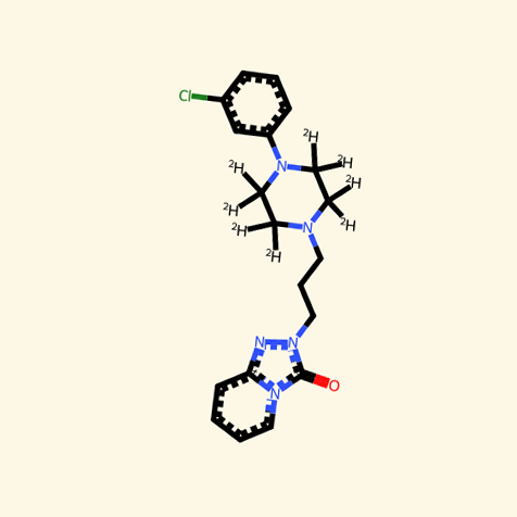 [2H]C1([2H])N(CCCn2nc3ccccn3c2=O)C([2H])([2H])C([2H])([2H])N(c2cccc(Cl)c2)C1([2H])[2H]